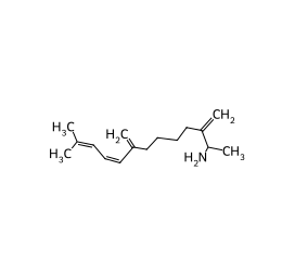 C=C(/C=C\C=C(C)C)CCCCC(=C)C(C)N